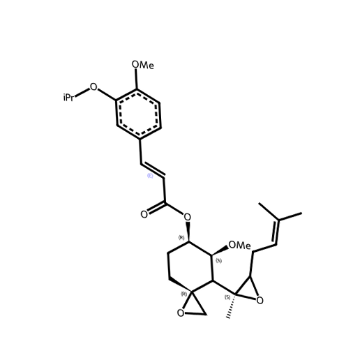 COc1ccc(/C=C/C(=O)O[C@@H]2CC[C@]3(CO3)C([C@]3(C)OC3CC=C(C)C)[C@@H]2OC)cc1OC(C)C